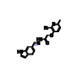 CCc1nc(C)ccc1OCC(=O)N/N=C/c1ccc2cc[nH]c2c1